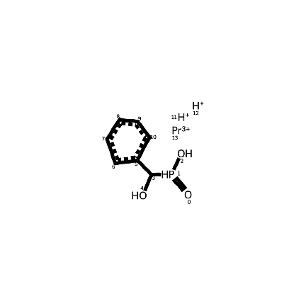 O=[PH](O)C(O)c1ccccc1.[H+].[H+].[Pr+3]